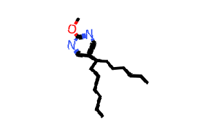 CCCCCCC(CCCCCC)c1cnc(OC)nc1